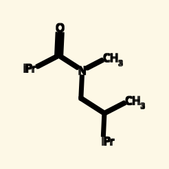 CC(C)C(=O)N(C)CC(C)C(C)C